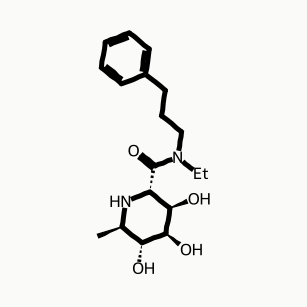 CCN(CCCc1ccccc1)C(=O)[C@H]1N[C@H](C)[C@@H](O)[C@H](O)[C@@H]1O